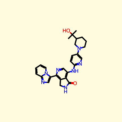 CC(C)(O)C1CCCN(c2ccc(Nc3cnc(-c4cnc5ccccn45)c4c3C(=O)NC4)nc2)C1